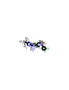 BC(B)(B)c1cnc(C(B)(B)NC(B)(B)C2(F)CCN(C(=O)c3ccc(F)c(Cl)c3)C(B)(B)C2)nc1